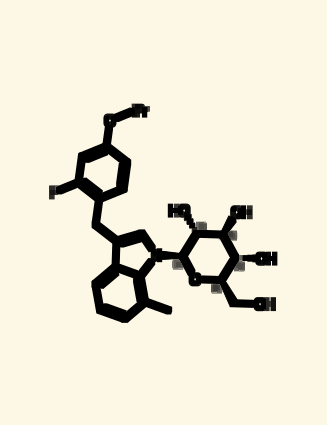 Cc1cccc2c(Cc3ccc(OC(C)C)cc3F)cn([C@@H]3O[C@H](CO)[C@@H](O)[C@H](O)[C@H]3O)c12